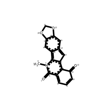 Cn1c2c(c3c(c1=O)=CC=CC3=O)C=c1cc3c(cc1=2)OCO3